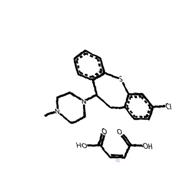 CN1CCN(C2Cc3ccc(Cl)cc3Sc3ccccc32)CC1.O=C(O)/C=C\C(=O)O